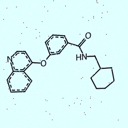 O=C(NCC1CCCCC1)c1cccc(Oc2ccnc3ccccc23)c1